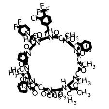 CC[C@H](C)[C@@H]1NC(=O)[C@H](C)N(C)C(=O)C[C@@H](C(=O)N2CCCCC2)N(C)C(=O)[C@H](C(C)C)N(C)C(=O)C2(CCCC2)NC(=O)[C@@H](CC(=O)N2CCC(F)(F)CC2)N(C)C(=O)[C@H](CCc2ccc(C(F)(F)F)c(Cl)c2)NC(=O)CN(C)C(=O)[C@H](CC2CCCCC2)N(C)C(=O)CN(C)C(=O)CN(C)C1=O